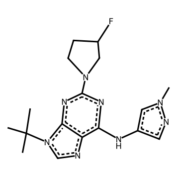 Cn1cc(Nc2nc(N3CCC(F)C3)nc3c2ncn3C(C)(C)C)cn1